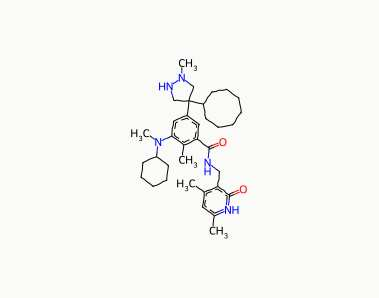 Cc1cc(C)c(CNC(=O)c2cc(C3(C4CCCCCCC4)CNN(C)C3)cc(N(C)C3CCCCC3)c2C)c(=O)[nH]1